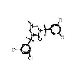 CN1CN(C(C)(C)c2cc(Cl)cc(Cl)c2)C(=O)N(C(C)(C)c2cc(Cl)cc(Cl)c2)C1